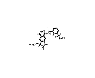 COCC1(C)C(=O)N(C)c2cc3c(N[C@H](C)c4cccc(C(F)(F)CO)c4C)nnc(C)c3cc21